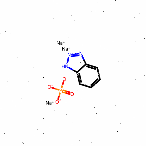 O=P([O-])([O-])[O-].[Na+].[Na+].[Na+].c1ccc2[nH]nnc2c1